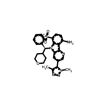 Cc1nnn(C)c1-c1cnc2c3c(N)ccc(S(C)(=O)=O)c3n([C@H](c3ccccc3)C3CCOCC3)c2c1